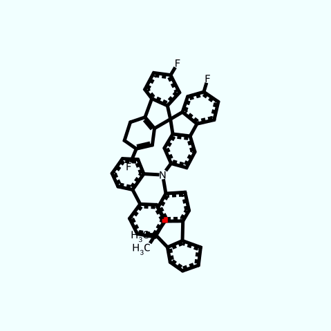 CC1(C)c2ccccc2-c2ccc(N(c3ccc4c(c3)C3(C5=C(CCC(F)=C5)c5ccc(F)cc53)c3cc(F)ccc3-4)c3ccccc3-c3ccccc3)cc21